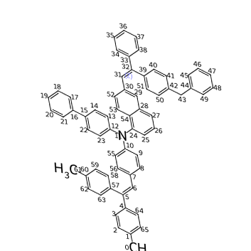 Cc1ccc(C(=Cc2ccc(N(c3ccc(-c4ccccc4)cc3)c3cccc4cc(/C=C(/c5ccccc5)c5ccc(Cc6ccccc6)cc5)ccc34)cc2)c2ccc(C)cc2)cc1